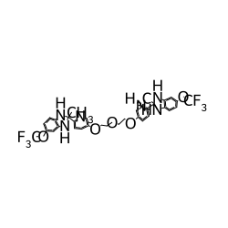 CC1(c2ccc(OCCOCCOc3ccc(C4(C)Nc5ccc(OC(F)(F)F)cc5N4)nc3)cn2)Nc2ccc(OC(F)(F)F)cc2N1